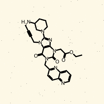 CC#CCn1c(N2CCCC(N)C2)nc2c1c(=O)n(Cc1ccc3ncccc3n1)c(=O)n2CC(=O)OCC